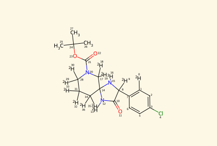 [2H]c1cc(Cl)ccc1C1([2H])C(=O)N([2H])C2(N1[2H])C([2H])([2H])N(C(=O)OC(C)(C)C)C([2H])([2H])C([2H])([2H])C2([2H])[2H]